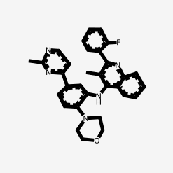 Cc1nccc(-c2ccc(N3CCOCC3)c(Nc3c(C)c(-c4ccccc4F)nc4ccccc34)c2)n1